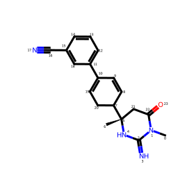 CN1C(=N)N[C@](C)(C2C=CC(c3cccc(C#N)c3)=CC2)CC1=O